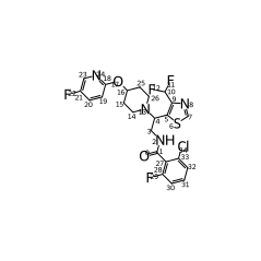 O=C(NCC(c1scnc1C(F)F)N1CCC(Oc2ccc(F)cn2)CC1)c1c(F)cccc1Cl